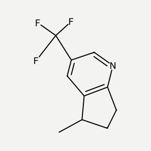 CC1CCc2ncc(C(F)(F)F)cc21